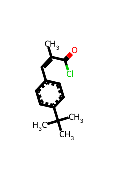 CC(=Cc1ccc(C(C)(C)C)cc1)C(=O)Cl